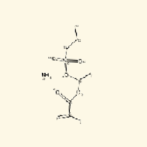 C=C(C)C(=O)OC(C)OS(=O)(=O)CCC.N